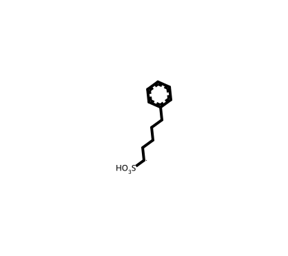 O=S(=O)(O)[CH]CCCCc1ccccc1